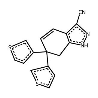 N#Cc1n[nH]c2c1C=CC(c1ccsc1)(c1ccsc1)C2